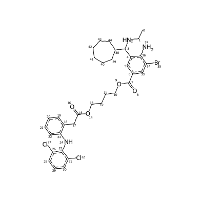 CCNC(c1cc(C(=O)OCCCCOC(=O)Cc2ccccc2Nc2c(Cl)cccc2Cl)cc(Br)c1N)C1CCCCCC1